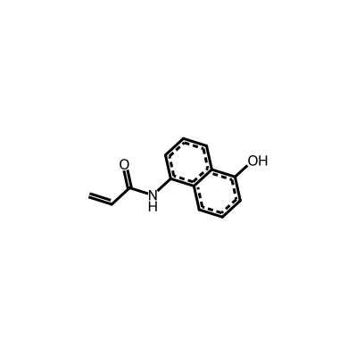 C=CC(=O)Nc1cccc2c(O)cccc12